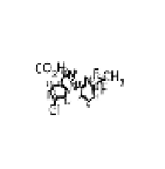 CC(F)(F)c1cccc(-n2nc(C(=O)O)c3cnc(Cl)cc32)n1